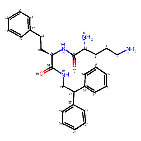 NCCC[C@@H](N)C(=O)N[C@H](CCc1ccccc1)C(=O)NCC(c1ccccc1)c1ccccc1